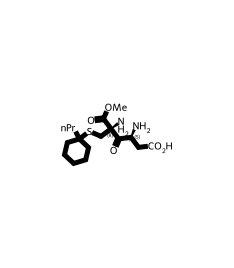 CCCC1(SC[C@](N)(C(=O)OC)C(=O)[C@@H](N)CC(=O)O)CCCCC1